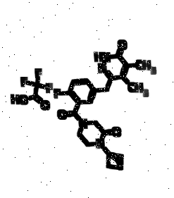 Cc1c(Cc2ccc(F)c(C(=O)N3CCN(C45CC(C4)C5)C(=O)C3)c2)n[nH]c(=O)c1C.O=C(O)C(F)(F)F